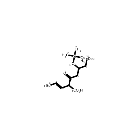 CCCCC=CC(C(=O)O)C(=O)CC(CCCCCCCCCCC)O[Si](C)(C)C